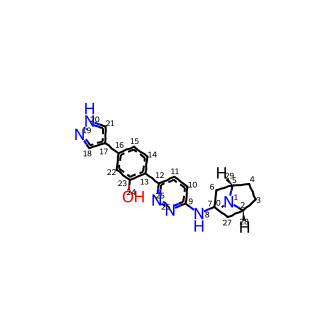 CN1[C@@H]2CC[C@H]1CC(Nc1ccc(-c3ccc(-c4cn[nH]c4)cc3O)nn1)C2